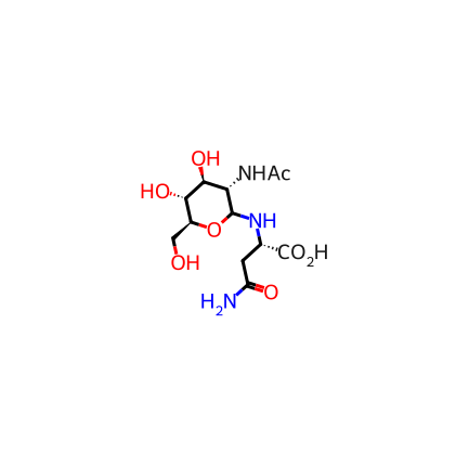 CC(=O)N[C@@H]1C(N[C@@H](CC(N)=O)C(=O)O)O[C@@H](CO)[C@H](O)[C@H]1O